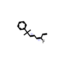 C=C/C(F)=C\C=C\C(C)(C)c1ccccc1